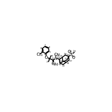 CC(C)(Oc1ccccc1Cl)C(=N)N(C#N)C1C2CC3CC1CC(S(C)(=O)=O)(C3)C2